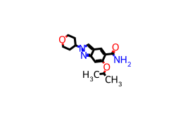 CC(C)Oc1cc2nn(C3CCOCC3)cc2cc1C(N)=O